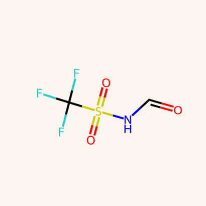 O=CNS(=O)(=O)C(F)(F)F